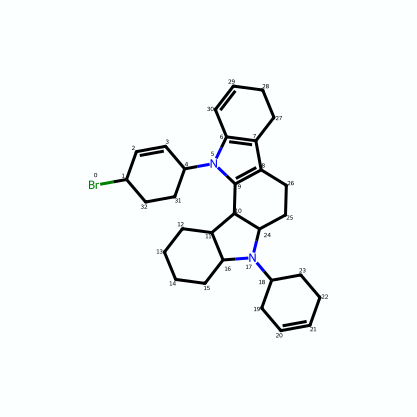 BrC1C=CC(n2c3c(c4c2C2C5CCCCC5N(C5CC=CCC5)C2CC4)CCC=C3)CC1